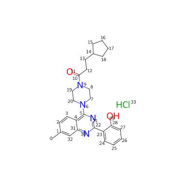 Cc1ccc2c(N3CCN(C(=O)CCC4CCCC4)CC3)nc(-c3ccccc3O)nc2c1.Cl